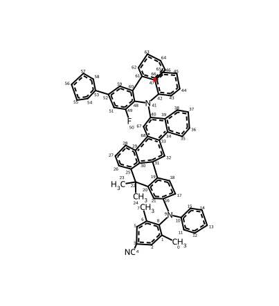 Cc1cc(C#N)cc(C)c1N(c1ccccc1)c1ccc2c(c1)C(C)(C)c1cccc3c1c-2cc1c2ccccc2c(N(c2ccccc2)c2c(F)cc(-c4ccccc4)cc2-c2ccccc2)cc31